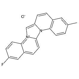 Cc1ccc2c(ccc3c[n+]4c5ccc(F)cc5ccc4n32)c1.[Cl-]